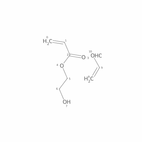 C=CC(=O)OCCO.C=CC=O